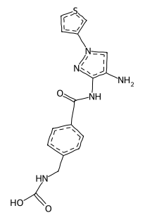 Nc1cn(-c2ccsc2)nc1NC(=O)c1ccc(CNC(=O)O)cc1